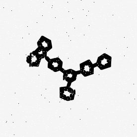 c1ccc(-c2ccc(-c3cc(-c4ccc(-n5c6ccccc6c6ccncc65)cc4)nc(-c4ccccn4)c3)cc2)cc1